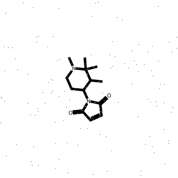 CC1C(N2C(=O)C=CC2=O)CCN(C)C1(C)C